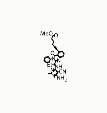 CC[C@H](Nc1nc(C)nc(N)c1C#N)c1nc2cccc(C#CCCCC(=O)OC)c2c(=O)n1-c1ccccc1